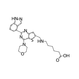 O=C(O)CCCCCNCc1cc2nc(-c3cccc4[nH]ncc34)nc(N3CCOCC3)c2s1